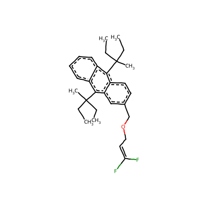 CCC(C)(CC)c1c2ccccc2c(C(C)(CC)CC)c2cc(COCC=C(F)F)ccc12